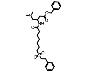 CN(C)CC(CC(=O)OCc1ccccc1)NC(=O)CCCCCCS(=O)(=O)CCc1ccccc1